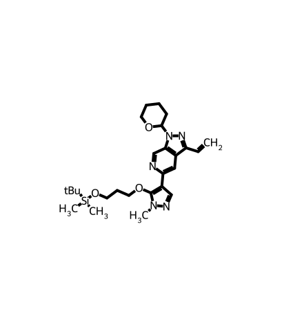 C=Cc1nn(C2CCCCO2)c2cnc(-c3cnn(C)c3OCCCO[Si](C)(C)C(C)(C)C)cc12